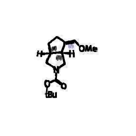 CO/C=C1/CC[C@H]2CN(C(=O)OC(C)(C)C)C[C@@H]12